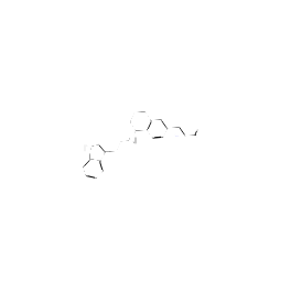 O=C(O)/C=C/c1ccc2c(c1)CCCC2NCCc1c[nH]c2ccccc12